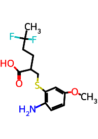 COc1ccc(N)c(SCC(CCC(C)(F)F)C(=O)O)c1